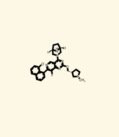 CN1CC[C@@H](COc2nc(N3C[C@H]4CC[C@@H](C3)N4)c3cnc(-c4cccc5cccc(Cl)c45)c(F)c3n2)C1